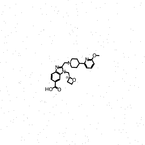 COc1cccc(C2CCN(Cc3nc4ccc(C(=O)O)cc4n3C[C@@H]3CCO3)CC2)n1